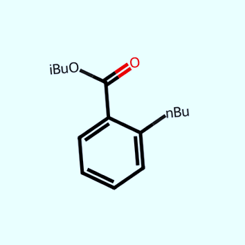 CCCCc1ccccc1C(=O)OCC(C)C